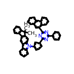 CC1(C)c2ccccc2-c2cc3c4ccccc4n(-c4cccc(-c5nc(-c6ccccc6)nc(-c6cc7ccccc7c7ccccc67)n5)c4)c3cc21